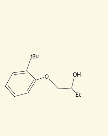 CCC(O)COc1ccccc1C(C)(C)C